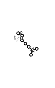 CC1(C)c2ccc(-c3ccc(-c4ccc(-c5nc(-c6ccccc6)nc(-c6ccccc6)n5)cc4)cc3)cc2-c2ccc3oc4ccccc4c3c21